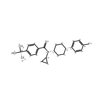 C[C@](O)(c1ccc(C(=O)N(C2CC2)[C@H]2CC[C@@H](c3ccc(F)cc3)CC2)cc1)C(F)(F)F